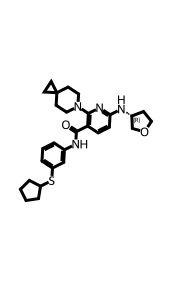 O=C(Nc1cccc(SC2CCCC2)c1)c1ccc(N[C@@H]2CCOC2)nc1N1CCC2(CC1)CC2